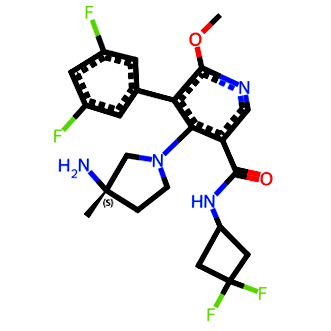 COc1ncc(C(=O)NC2CC(F)(F)C2)c(N2CC[C@](C)(N)C2)c1-c1cc(F)cc(F)c1